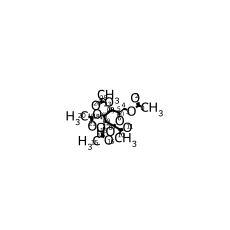 CC(=O)OC[C@H]1OC(O)(C(C)=O)[C@H](OC(C)=O)[C@@H](OC(C)=O)[C@@H]1OC(C)=O